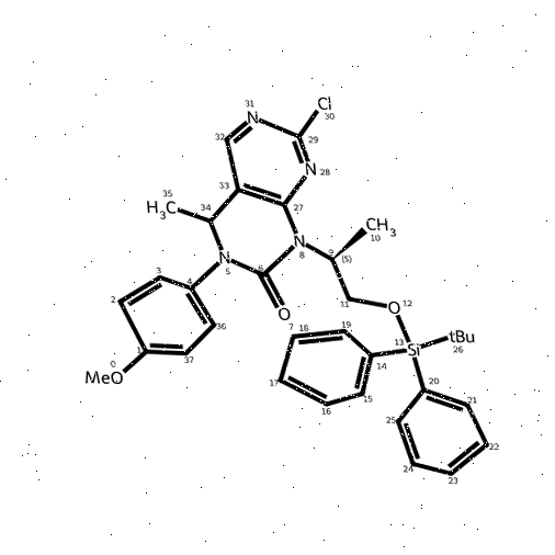 COc1ccc(N2C(=O)N([C@@H](C)CO[Si](c3ccccc3)(c3ccccc3)C(C)(C)C)c3nc(Cl)ncc3C2C)cc1